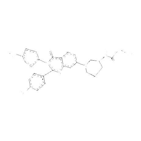 Cc1ccc(-n2c(-c3ccc(C#N)cc3)nc3cc(N4CCC[C@H](NC(=O)OC(C)(C)C)C4)ccc3c2=O)cc1